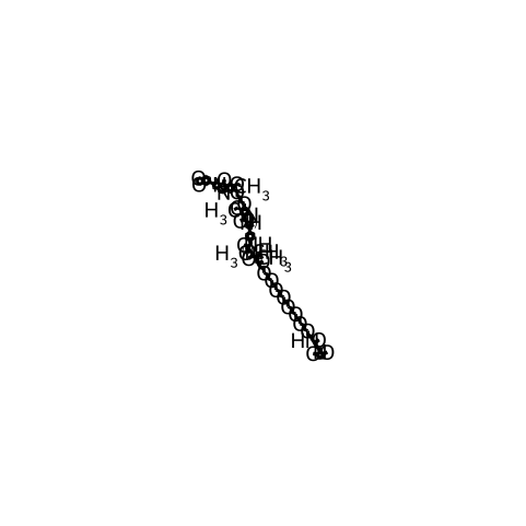 COc1cc2c(cc1OCCCOc1cc3c(cc1OC)C(=O)N1C=C(c4ccc(NC(=O)[C@H](C)NC(=O)C(CC(=O)CCOCCOCCOCCOCCOCCOCCOCCOCCNC(=O)CCN5C(=O)C=CC5=O)C(C)C)cc4)C[C@H]1C=N3)N=CC1CC(c3ccc4c(c3)OCO4)=CN1C2=O